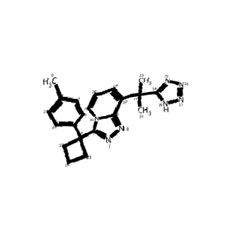 Cc1ccc(C2(c3nnc4c(C(C)(C)c5nnn[nH]5)cccn34)CCC2)cc1